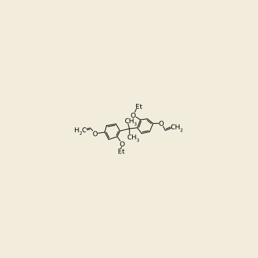 C=COc1ccc(C(C)(C)c2ccc(OC=C)cc2OCC)c(OCC)c1